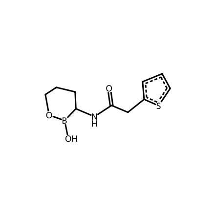 O=C(Cc1cccs1)NC1CCCOB1O